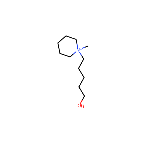 C[N+]1(CCCCCO)CCCCC1